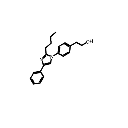 CCCCc1nc(-c2ccccc2)cn1-c1ccc(CCO)cc1